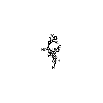 CCn1c(-c2ccccc2CN(C)C)c2c3cc(ccc31)-c1cc(O)cc(c1)C[C@H](NC(=O)C(C(C)C)N(C)C(=O)c1ncc(NC(=O)/C=C/CN(C)C)n1C)C(=O)N1CCC[C@H](N1)C(=O)OCC(C)(C)C2